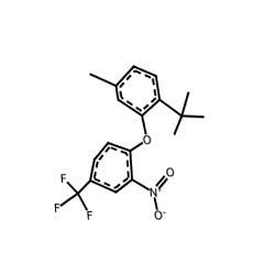 Cc1ccc(C(C)(C)C)c(Oc2ccc(C(F)(F)F)cc2[N+](=O)[O-])c1